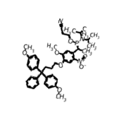 COc1ccc(C(CCCOc2cc([N+](=O)[O-])c(C(C)P(OCCC#N)N(C(C)C)C(C)C)cc2OC)(c2ccccc2)c2ccc(OC)cc2)cc1